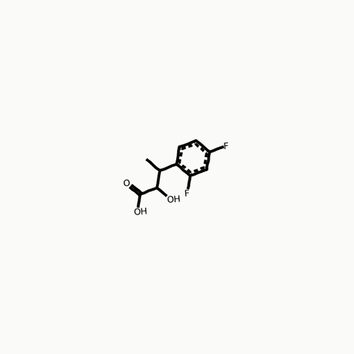 CC(c1ccc(F)cc1F)C(O)C(=O)O